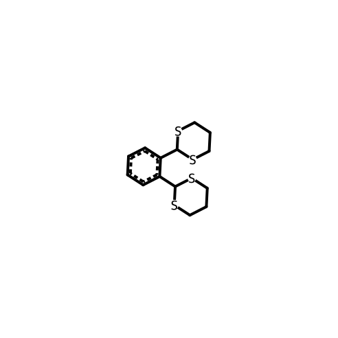 c1ccc(C2SCCCS2)c(C2SCCCS2)c1